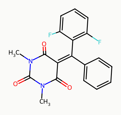 CN1C(=O)C(=C(c2ccccc2)c2c(F)cccc2F)C(=O)N(C)C1=O